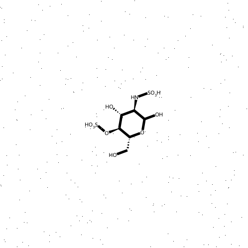 O=S(=O)(O)N[C@H]1C(O)O[C@H](CO)[C@@H](OS(=O)(=O)O)[C@@H]1O